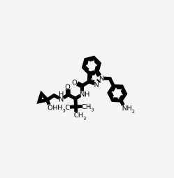 CC(C)(C)C(NC(=O)c1nn(Cc2ccc(N)cc2)c2ccccc12)C(=O)NCC1(O)CC1